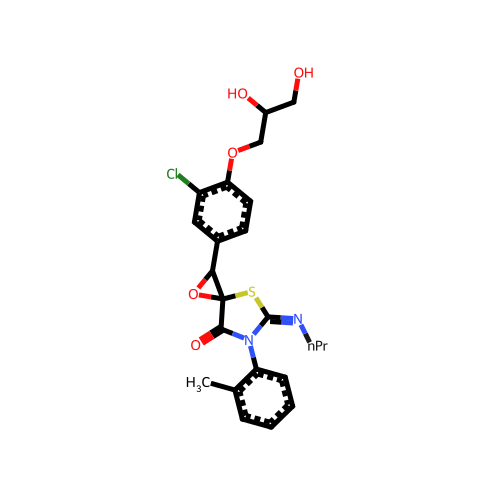 CCCN=C1SC2(OC2c2ccc(OCC(O)CO)c(Cl)c2)C(=O)N1c1ccccc1C